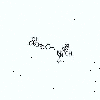 Cn1c(-c2nc(C3CCC3)cn2CCCc2ccc(OC[C@H]3CCN(C(=O)O)C3)cc2)cc2sccc21